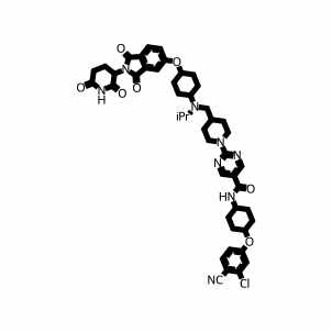 CC(C)N(CC1CCN(c2ncc(C(=O)NC3CCC(Oc4ccc(C#N)c(Cl)c4)CC3)cn2)CC1)C1CCC(Oc2ccc3c(c2)C(=O)N(C2CCC(=O)NC2=O)C3=O)CC1